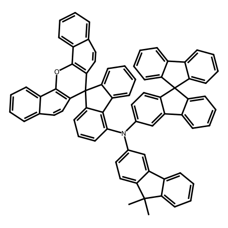 CC1(C)c2ccccc2-c2cc(N(c3ccc4c(c3)-c3ccccc3C43c4ccccc4-c4ccccc43)c3cccc4c3-c3ccccc3C43c4ccc5ccccc5c4Oc4c3ccc3ccccc43)ccc21